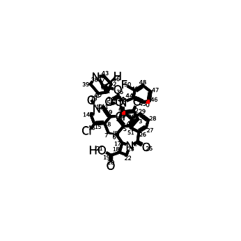 COc1ccc([C@H](Cc2c(Cl)c[n+]([O-])cc2Cl)C2C(C(=O)O)CN2C(=O)c2cccc(CN(C(=O)O[C@H]3CN4CCC3CC4)c3ccccc3F)c2)cc1OC